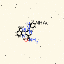 CC(=O)Nc1ccc(Nc2cc(N(C)c3cccc4cc[nH]c34)c(C(N)=O)cn2)cc1